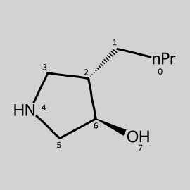 CCCC[C@H]1CNC[C@@H]1O